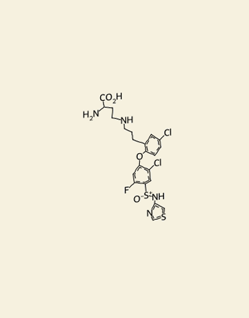 NC(CCNCCCc1cc(Cl)ccc1Oc1cc(F)c([S+]([O-])Nc2cscn2)cc1Cl)C(=O)O